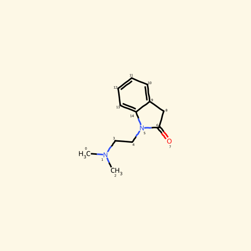 CN(C)CCN1C(=O)Cc2ccccc21